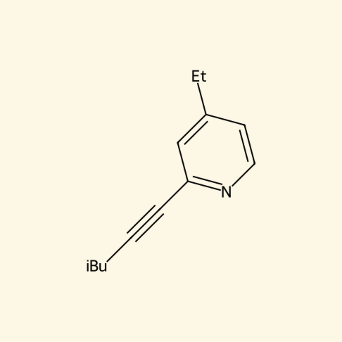 CCc1ccnc(C#CC(C)CC)c1